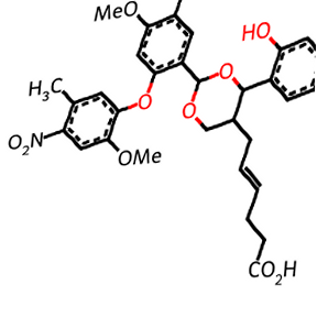 COc1cc(Oc2cc(C)c([N+](=O)[O-])cc2OC)c(C2OCC(CC=CCCC(=O)O)C(c3ccccc3O)O2)cc1OC